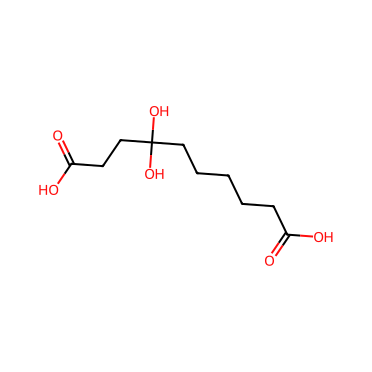 O=C(O)CCCCCC(O)(O)CCC(=O)O